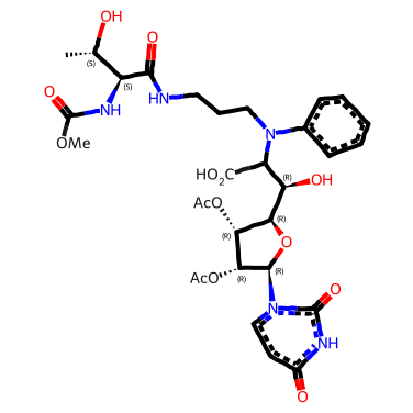 COC(=O)N[C@H](C(=O)NCCCN(c1ccccc1)C(C(=O)O)[C@@H](O)[C@H]1O[C@@H](n2ccc(=O)[nH]c2=O)[C@H](OC(C)=O)[C@@H]1OC(C)=O)[C@H](C)O